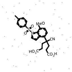 COc1ccc(C(C#N)(CCC(=O)O)CCC(=O)O)c2ccn(S(=O)(=O)c3ccc(C)cc3)c12